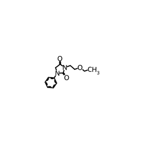 CCOCCN1C(=O)CN(c2ccccc2)C1=O